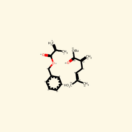 C=C(C)C(=O)OCc1ccccc1.C=C(CC=C(C)C(=O)O)C(=O)OCC(C)C